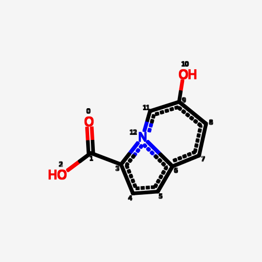 O=C(O)c1ccc2ccc(O)cn12